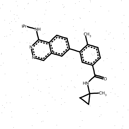 Cc1ccc(C(=O)NC2(C)CC2)cc1-c1ccc2c(NC(C)C)nncc2c1